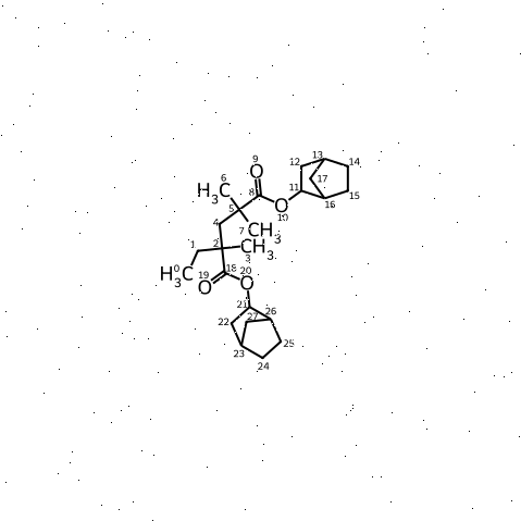 CCC(C)(CC(C)(C)C(=O)OC1CC2CCC1C2)C(=O)OC1CC2CCC1C2